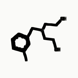 Cc1cccc(CN(CCO)CCO)c1